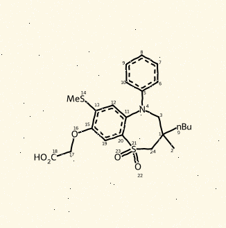 CCCCC1(C)CN(c2ccccc2)c2cc(SC)c(OCC(=O)O)cc2S(=O)(=O)C1